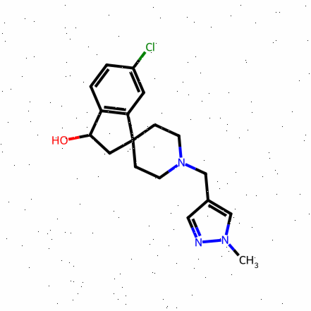 Cn1cc(CN2CCC3(CC2)CC(O)c2ccc(Cl)cc23)cn1